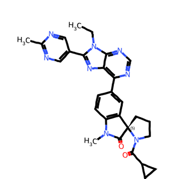 CCn1c(-c2cnc(C)nc2)nc2c(-c3ccc4c(c3)[C@@]3(CCCN3C(=O)C3CC3)C(=O)N4C)ncnc21